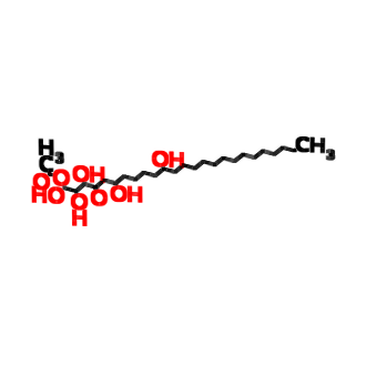 CCCCCCCCCCCCCCC(O)CCCCC(O)CC(=O)C(O)C(O)C(O)OC(C)=O